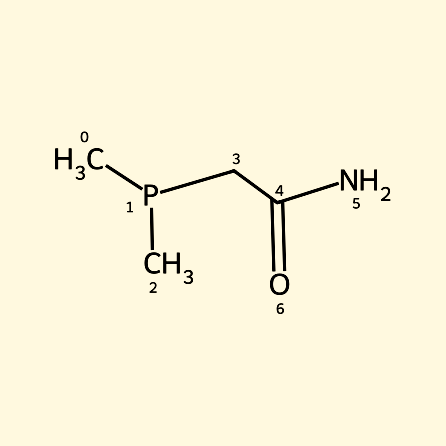 CP(C)CC(N)=O